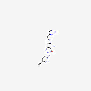 C#Cc1ccc(Cn2ncc3c4sc(Cc5cc[nH]n5)nc4n(C)c3c2=O)nc1